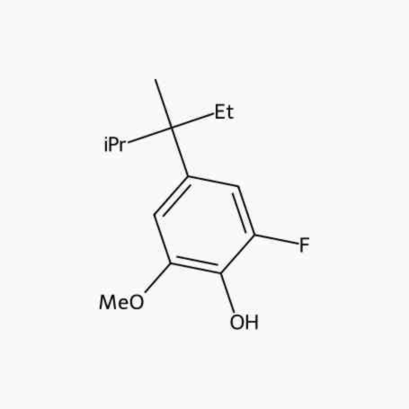 CCC(C)(c1cc(F)c(O)c(OC)c1)C(C)C